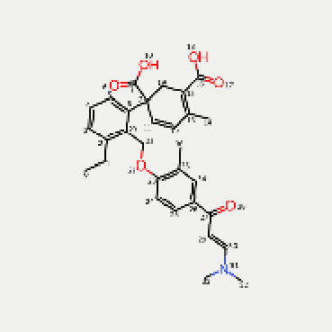 CCc1cccc(C2(C(=O)O)C=CC(C)=C(C(=O)O)C2)c1COc1ccc(C(=O)C=CN(C)C)cc1C